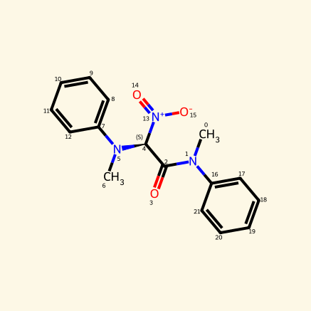 CN(C(=O)[C@@H](N(C)c1ccccc1)[N+](=O)[O-])c1ccccc1